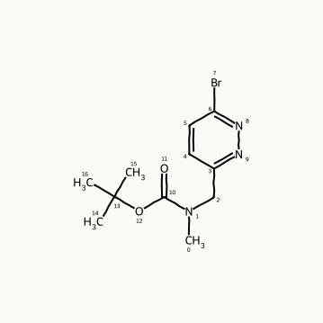 CN(Cc1ccc(Br)nn1)C(=O)OC(C)(C)C